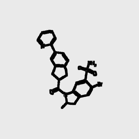 CC1Cc2cc(Br)c(S(N)(=O)=O)cc2N1C(=O)C1Cc2ccc(-c3ccccn3)cc2C1